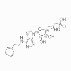 O=P(O)(O)COC[C@H]1O[C@@H](n2cnc3c(NCCc4ccccc4)ncnc32)[C@H](O)[C@@H]1O